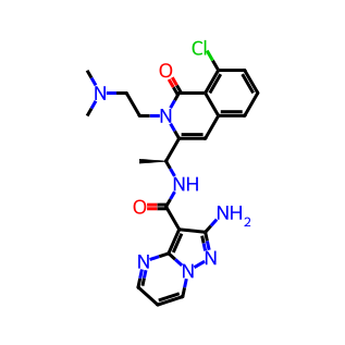 C[C@H](NC(=O)c1c(N)nn2cccnc12)c1cc2cccc(Cl)c2c(=O)n1CCN(C)C